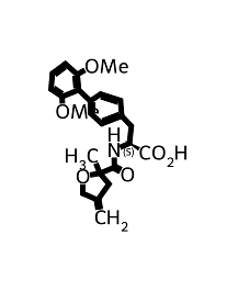 C=C1COC(C)(C(=O)N[C@@H](Cc2ccc(-c3c(OC)cccc3OC)cc2)C(=O)O)C1